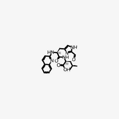 CC(C)C[C@H](NC(=O)[C@H](Cc1c[nH]c(C=O)n1)Nc1ccc2ccccc2n1)C(=O)O